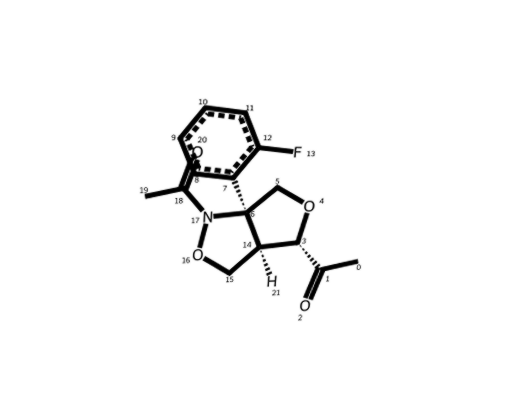 CC(=O)[C@H]1OC[C@@]2(c3ccccc3F)[C@@H]1CON2C(C)=O